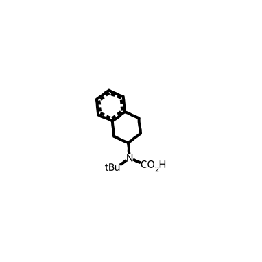 CC(C)(C)N(C(=O)O)C1CCc2ccccc2C1